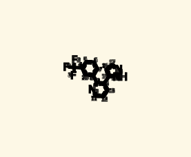 FC(F)(F)c1cccc(-c2ncccc2-c2ccn[nH]2)c1